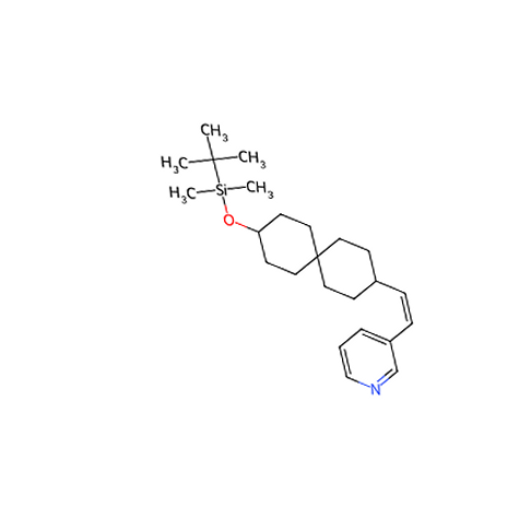 CC(C)(C)[Si](C)(C)OC1CCC2(CCC(/C=C\c3cccnc3)CC2)CC1